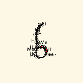 CCOCCC(=O)N1CCN(c2ncc(CNC(=O)CCOCCNC(=O)O[C@@H]3CC[C@@H](C[C@@H](N)[C@@H]4C[C@@H](OC)[C@H](C)/C=C(\C)[C@@H](O)[C@@H](O)C(=O)C(C)C[C@H](C)/C=C/C=C/C=C(\C)[C@@H](OC)C[C@@H]5CC[C@@H](C)[C@@](O)(O5)C(=O)C(=O)N5CCCC[C@H]5C(=O)O4)C[C@H]3OC)cn2)CC1